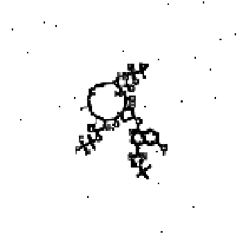 CC[C@@H]1C[C@H](C)CC/C=C\C2C[C@@]2(C(=O)NS(=O)(=O)C2(C)CC2)NC(=O)[C@@H]2C[C@@H](Oc3ncc(-c4nc(C(C)(C)C)cs4)c4cc(OC)ccc34)CN2C(=O)[C@H]1NC(=O)OC(C)(C)C(F)(F)F